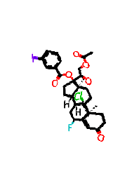 CC(=O)OCC(=O)[C@@]1(OC(=O)c2cccc(I)c2)CC[C@H]2[C@@H]3CC(F)C4=CC(=O)CC[C@]4(C)[C@@]3(Cl)CC[C@@]21C